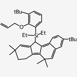 C=CCOc1c(C(C)(C)C)cccc1[Si](CC)(CC)C1C2=CC(C)(C)CCC2=C2C1=c1ccc(C(C)(C)C)cc1=CC2(C)C